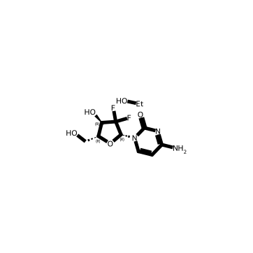 CCO.Nc1ccn([C@@H]2O[C@H](CO)[C@@H](O)C2(F)F)c(=O)n1